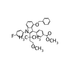 COCCC(C)(C)c1c(-c2ccc(C(=O)OC)cc2)c2c(OCc3ccccc3)cccc2n1-c1ccc(F)cc1